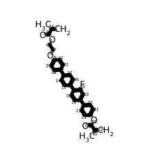 C=C(C)C(=O)OCCOc1ccc(-c2ccc(-c3ccc(-c4ccc(OC(=O)C(=C)C)cc4)cc3F)cc2)cc1